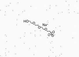 O=S(=O)([O-])CCOCCOCCOCCO.[Na+]